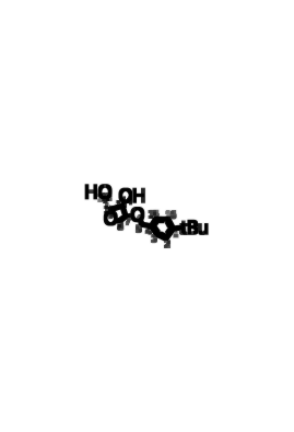 CC(C)(C)c1ccc(CO[C@H]2CO[C@H](CO)[C@H]2O)cc1